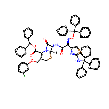 O=C(NC1C(=O)N2C(C(=O)OC(c3ccccc3)c3ccccc3)=C(COc3cccc(F)c3)CS[C@@H]12)C(=NOC(c1ccccc1)(c1ccccc1)c1ccccc1)c1csc(NC(c2ccccc2)(c2ccccc2)c2ccccc2)n1